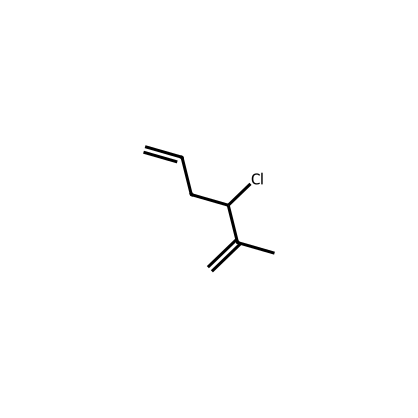 C=CCC(Cl)C(=C)C